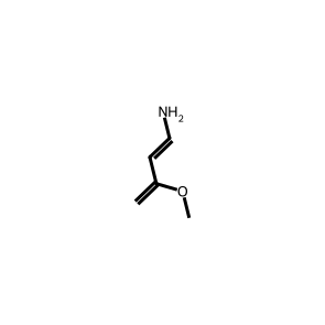 C=C(/C=C/N)OC